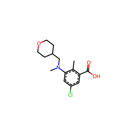 Cc1c(C(=O)O)cc(Cl)cc1N(C)CC1CCOCC1